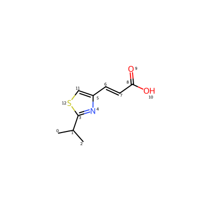 CC(C)c1nc(/C=C/C(=O)O)cs1